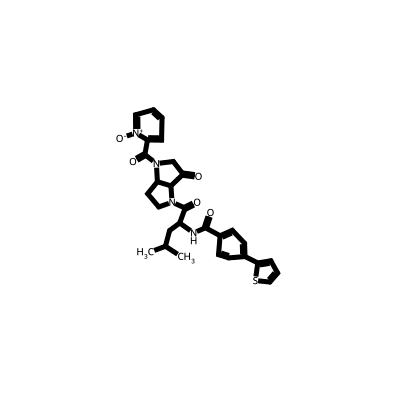 CC(C)CC(NC(=O)c1ccc(-c2cccs2)cc1)C(=O)N1CCC2C1C(=O)CN2C(=O)c1cccc[n+]1[O-]